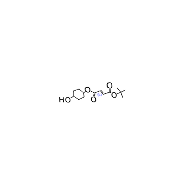 CC(C)(C)OC(=O)/C=C/C(=O)OC1CCC(O)CC1